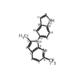 Cc1cc2ccc(C(F)(F)F)nc2n1-c1ccc2[nH]ccc2c1